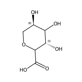 O=C(O)C1OC[C@@H](O)C(O)[C@@H]1O